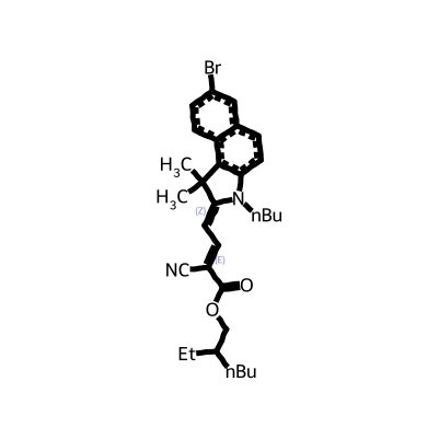 CCCCC(CC)COC(=O)/C(C#N)=C/C=C1\N(CCCC)c2ccc3cc(Br)ccc3c2C1(C)C